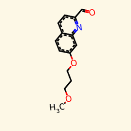 COCCCOc1ccc2ccc(C=O)nc2c1